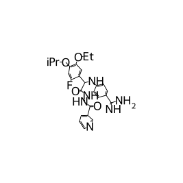 CCOc1cc(C(Nc2ccc(C(=N)N)cc2)C(=O)NNC(=O)c2cccnc2)c(F)cc1OC(C)C